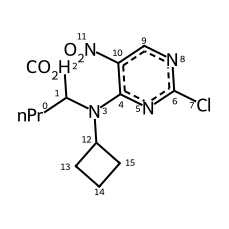 CCCC(C(=O)O)N(c1nc(Cl)ncc1[N+](=O)[O-])C1CCC1